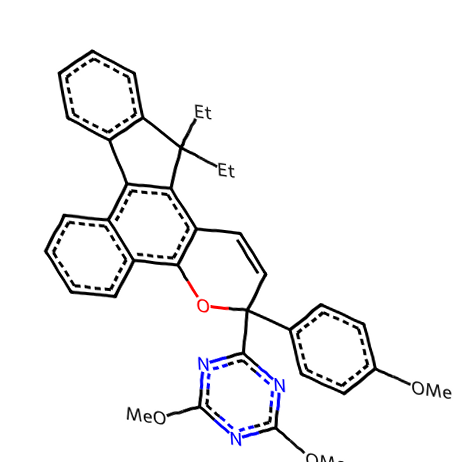 CCC1(CC)c2ccccc2-c2c1c1c(c3ccccc23)OC(c2ccc(OC)cc2)(c2nc(OC)nc(OC)n2)C=C1